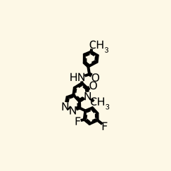 Cc1ccc(C(=O)Nc2cc3cnnc(-c4ccc(F)cc4F)c3n(C)c2=O)cc1